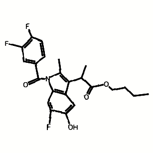 CCCCOC(=O)C(C)c1c(C)n(C(=O)c2ccc(F)c(F)c2)c2cc(F)c(O)cc12